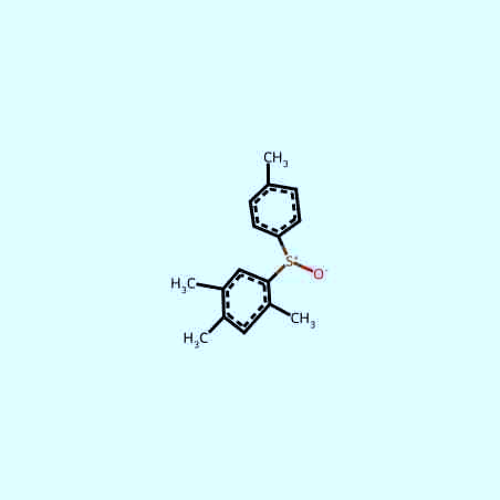 Cc1ccc([S+]([O-])c2cc(C)c(C)cc2C)cc1